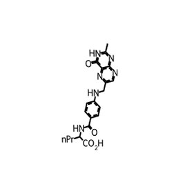 CCCC(NC(=O)c1ccc(NCc2cnc3nc(C)[nH]c(=O)c3n2)cc1)C(=O)O